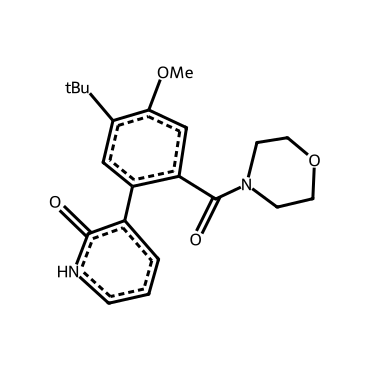 COc1cc(C(=O)N2CCOCC2)c(-c2ccc[nH]c2=O)cc1C(C)(C)C